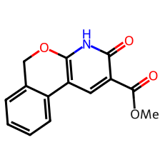 COC(=O)c1cc2c([nH]c1=O)OCc1ccccc1-2